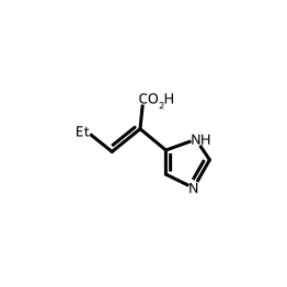 CCC=C(C(=O)O)c1cnc[nH]1